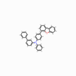 c1ccc(-c2cccc(N(c3ccccc3)c3ccc(-c4cccc5c4oc4ccccc45)cc3)c2)cc1